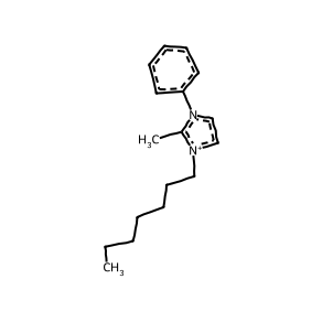 CCCCCCC[n+]1ccn(-c2ccccc2)c1C